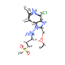 CCOCc1nc2c(Cl)nc(C)c(C)c2n1NCCCS(C)(=O)=O